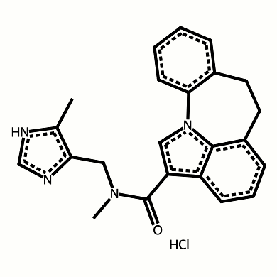 Cc1[nH]cnc1CN(C)C(=O)c1cn2c3c(cccc13)CCc1ccccc1-2.Cl